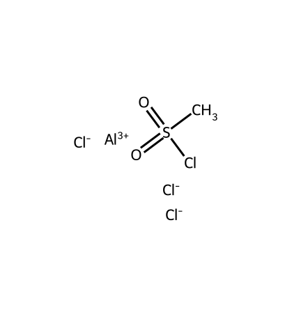 CS(=O)(=O)Cl.[Al+3].[Cl-].[Cl-].[Cl-]